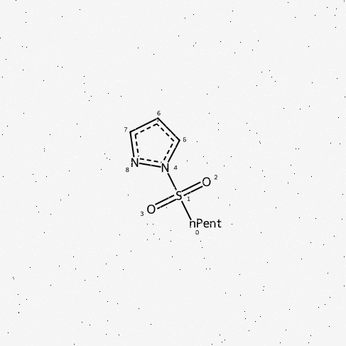 CCCCCS(=O)(=O)n1c[c]cn1